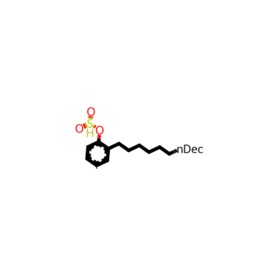 CCCCCCCCCCCCCCCCc1c[c]ccc1O[SH](=O)=O